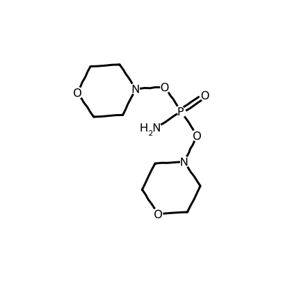 NP(=O)(ON1CCOCC1)ON1CCOCC1